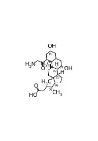 C[C@H](CCC(=O)O)[C@H]1CC[C@H]2[C@@H]3[C@@H](O)CC4C[C@@H](O)CC(C(=O)CN)[C@]4(C)[C@H]3CC[C@]12C